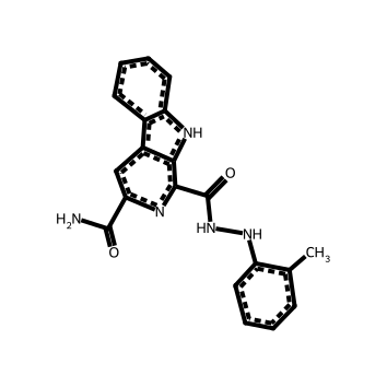 Cc1ccccc1NNC(=O)c1nc(C(N)=O)cc2c1[nH]c1ccccc12